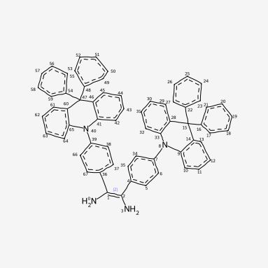 N/C(=C(\N)c1ccc(N2c3ccccc3C(c3ccccc3)(c3ccccc3)c3ccccc32)cc1)c1ccc(N2c3ccccc3C(c3ccccc3)(c3ccccc3)c3ccccc32)cc1